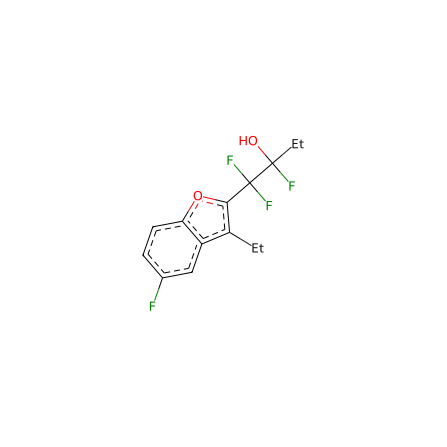 CCc1c(C(F)(F)C(O)(F)CC)oc2ccc(F)cc12